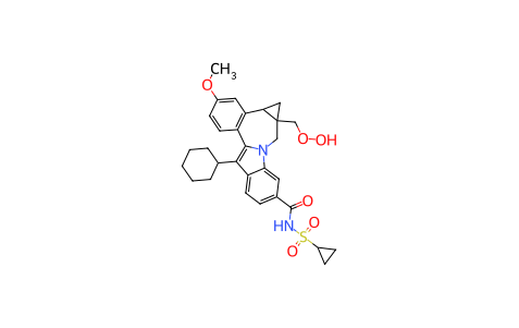 COc1ccc2c(c1)C1CC1(COO)Cn1c-2c(C2CCCCC2)c2ccc(C(=O)NS(=O)(=O)C3CC3)cc21